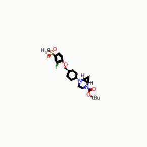 CC(C)(C)OC(=O)N1CCN([C@H]2CC[C@H](COc3ccc(S(C)(=O)=O)cc3F)CC2)[C@H]2C[C@H]21